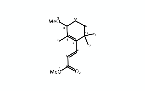 COC(=O)C=CC1=C(C)C(OC)CCC1(C)C